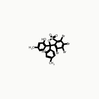 Cc1ccc(C2(c3ccc(C)cc3O)OS(=O)(=O)c3c(Br)c(Br)c(Br)c(Br)c32)c(O)c1